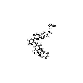 COCCN(C)C1CCC(Nc2nccc(-c3cccnc3Oc3cc(F)c(NS(=O)(=O)C4CCCCC4)c(F)c3F)n2)CC1